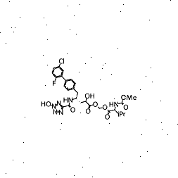 COC(=O)N[C@H](C(=O)OCOC(=O)[C@H](O)C[C@@H](Cc1ccc(-c2cc(Cl)ccc2F)cc1)NC(=O)c1nnn(O)n1)C(C)C